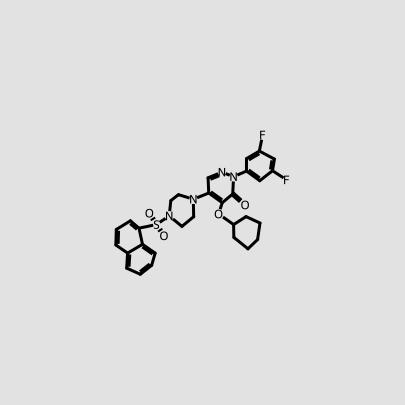 O=c1c(OC2CCCCC2)c(N2CCN(S(=O)(=O)c3cccc4ccccc34)CC2)cnn1-c1cc(F)cc(F)c1